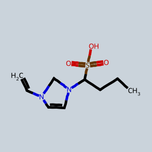 C=CN1C=CN(C(CCC)S(=O)(=O)O)C1